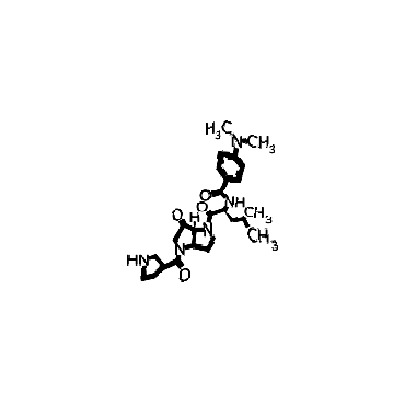 CC(C)C[C@H](NC(=O)c1ccc(N(C)C)cc1)C(=O)N1CCC2[C@H]1C(=O)CN2C(=O)C1CCNC1